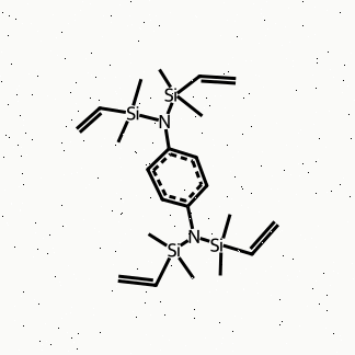 C=C[Si](C)(C)N(c1ccc(N([Si](C)(C)C=C)[Si](C)(C)C=C)cc1)[Si](C)(C)C=C